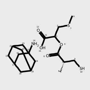 CSCC(OC(=O)[C@@H](C)CS)C(=O)O.NC12CC3CC(CC(C3)C1)C2